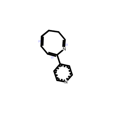 C1=C/CC\C=N/C(c2ccncc2)=C\1